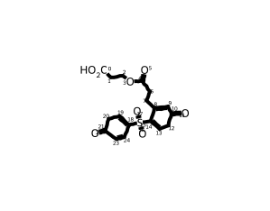 O=C(O)CCOC(=O)CCC1=CC(=O)CC=C1S(=O)(=O)C1=CCC(=O)C=C1